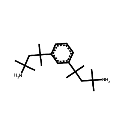 CC(C)(N)CC(C)(C)c1cccc(C(C)(C)CC(C)(C)N)c1